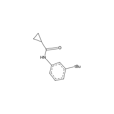 CC(C)(C)c1cccc(NC(=O)C2CC2)c1